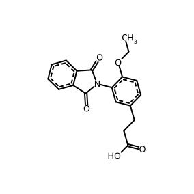 CCOc1ccc(CCC(=O)O)cc1N1C(=O)c2ccccc2C1=O